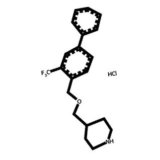 Cl.FC(F)(F)c1cc(-c2ccccc2)ccc1COCC1CCNCC1